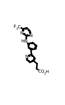 O=C(O)CCc1ccnc(-c2cccc(Nc3nccc(C(F)(F)F)n3)c2)c1